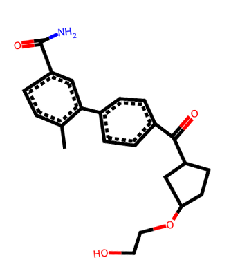 Cc1ccc(C(N)=O)cc1-c1ccc(C(=O)C2CCC(OCCO)C2)cc1